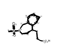 CS(=O)(=O)N1CCC(CCC(=O)O)c2ccccc2C1